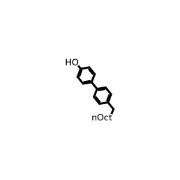 CCCCCCCCCc1ccc(-c2ccc(O)cc2)cc1